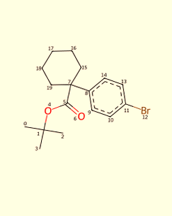 CC(C)(C)OC(=O)C1(c2ccc(Br)cc2)CCCCC1